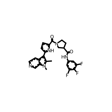 Cc1c(-c2ccc(C(=O)N3CCC(C(=O)Nc4cc(F)c(F)c(F)c4)C3)[nH]2)c2ccncc2n1C